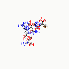 N=C(N)NCCC[C@H](N)C(=O)O.NC(=O)C[C@H](N)C(=O)O.NCC(=O)O.N[C@@H](CO)C(=O)O.N[C@@H](CS)C(=O)O